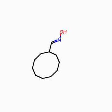 ON=CC1CCCCCCCCC1